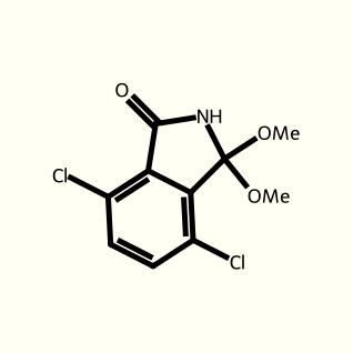 COC1(OC)NC(=O)c2c(Cl)ccc(Cl)c21